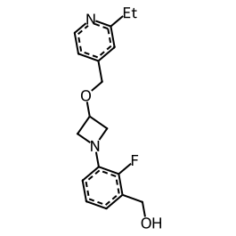 CCc1cc(COC2CN(c3cccc(CO)c3F)C2)ccn1